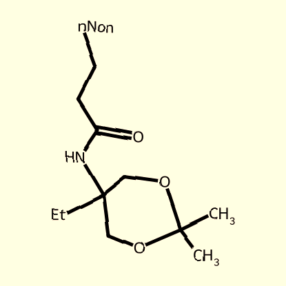 CCCCCCCCCCCC(=O)NC1(CC)COC(C)(C)OC1